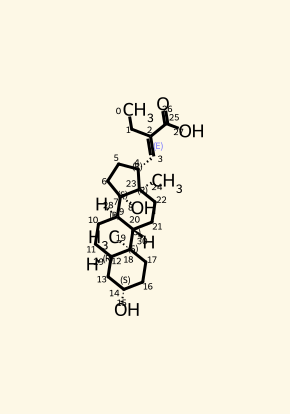 CC/C(=C\[C@H]1CC[C@]2(O)[C@@H]3CC[C@@H]4C[C@@H](O)CC[C@]4(C)[C@H]3CC[C@]12C)C(=O)O